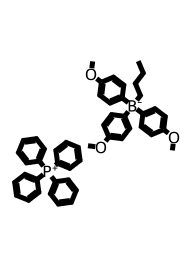 CCCC[B-](c1ccc(OC)cc1)(c1ccc(OC)cc1)c1ccc(OC)cc1.c1ccc([P+](c2ccccc2)(c2ccccc2)c2ccccc2)cc1